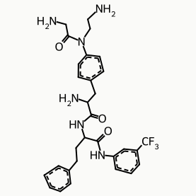 NCCN(C(=O)CN)c1ccc(CC(N)C(=O)NC(CCc2ccccc2)C(=O)Nc2cccc(C(F)(F)F)c2)cc1